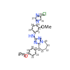 COc1cc(Nc2nc3n(n2)CCCCC3c2ccc(OC(C)C)cc2)ccc1-n1cnc(Cl)c1